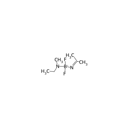 CCN(C)[B-](F)(F)N=C(C)C